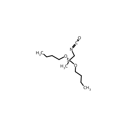 CCCCO[Si](C)(CN=C=O)OCCCC